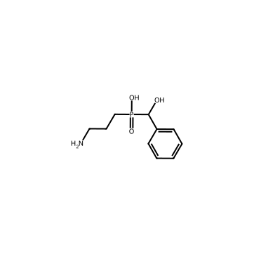 NCCCP(=O)(O)C(O)c1ccccc1